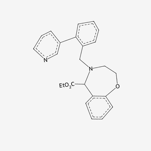 CCOC(=O)C1c2ccccc2OCCN1Cc1ccccc1-c1cccnc1